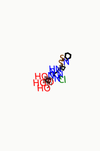 OC[C@H]1O[C@@H](n2cnc3c(N[C@@H]4CC[C@@H]4Sc4nc5ccccc5s4)nc(Cl)nc32)[C@H](O)[C@@H]1O